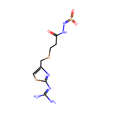 NC(N)=Nc1nc(CSCCC(=O)NN=S(=O)=O)cs1